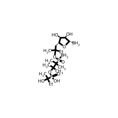 B[C@@H]1O[C@H](CC(C)(CC)OP(B)(=O)C(C)(C)C(C)(C)OP(=O)(O)C(C)(O)CC)[C@@H](O)[C@H]1O